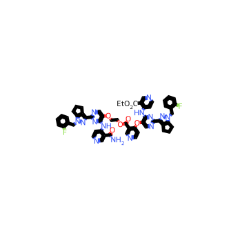 CCOC(=O)c1cnccc1Nc1nc(-c2nn(Cc3ccccc3F)c3c2CCC3)ncc1Oc1ccncc1C(=O)OCCOc1cnc(-c2nn(Cc3ccccc3F)c3c2CCC3)nc1Nc1ccncc1C(N)=O